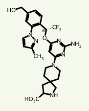 Cc1ccn(-c2cc(CO)ccc2[C@@H](Oc2cc(N3CCC4(CC3)CNC(C(=O)O)C4)nc(N)n2)C(F)(F)F)n1